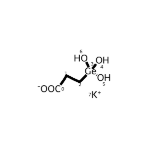 O=C([O-])C[CH2][Ge]([OH])([OH])[OH].[K+]